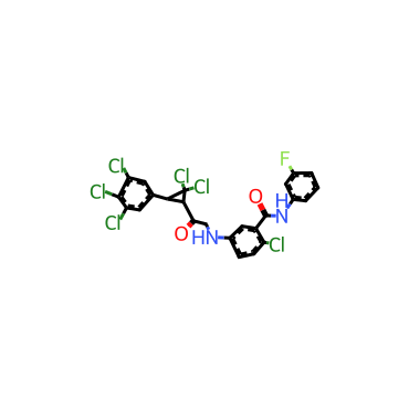 O=C(Nc1cccc(F)c1)c1cc(NCC(=O)C2C(c3cc(Cl)c(Cl)c(Cl)c3)C2(Cl)Cl)ccc1Cl